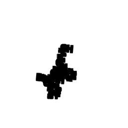 CCN1C[C@@H](NC(=O)Nc2c(C)c(OCCCCO)nn2-c2ccccc2)[C@H](c2ccc(F)c(F)c2)O1